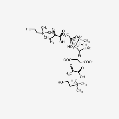 CC(=O)C(=O)O.CC(=O)C(=O)O.CC(=O)O.CC(=O)O.CCC(OC(C)=O)C(=O)O.CCC(OC(C)=O)C(=O)O.C[N+](C)(C)CCO.C[N+](C)(C)CCO.O=C([O-])CCC(=O)[O-]